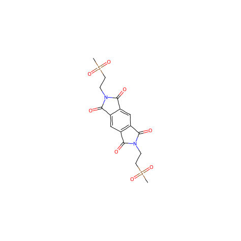 CS(=O)(=O)CCn1c(=O)c2cc3c(=O)n(CCS(C)(=O)=O)c(=O)c3cc2c1=O